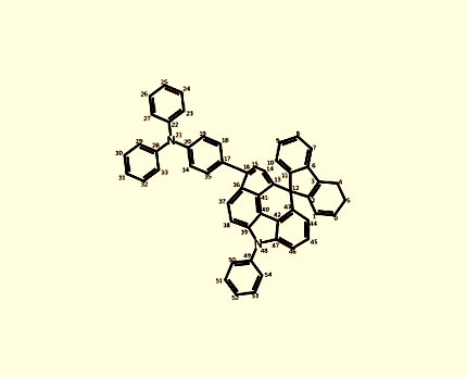 C1=CC2=C(CC1)c1ccccc1C21c2ccc(-c3ccc(N(c4ccccc4)c4ccccc4)cc3)c3ccc4c(c23)c2c1cccc2n4-c1ccccc1